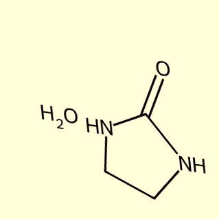 O.O=C1NCCN1